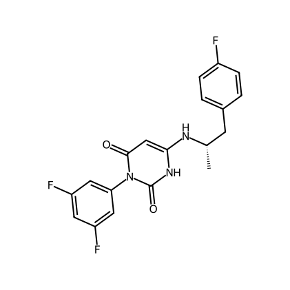 C[C@@H](Cc1ccc(F)cc1)Nc1cc(=O)n(-c2cc(F)cc(F)c2)c(=O)[nH]1